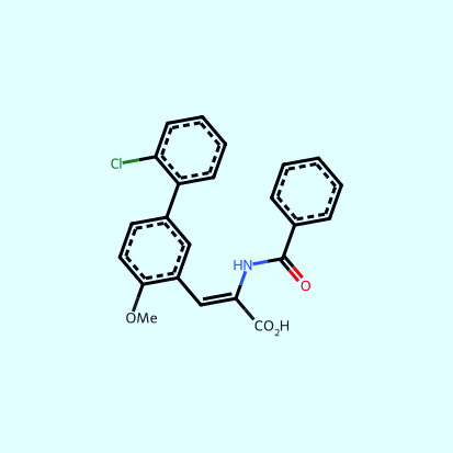 COc1ccc(-c2ccccc2Cl)cc1C=C(NC(=O)c1ccccc1)C(=O)O